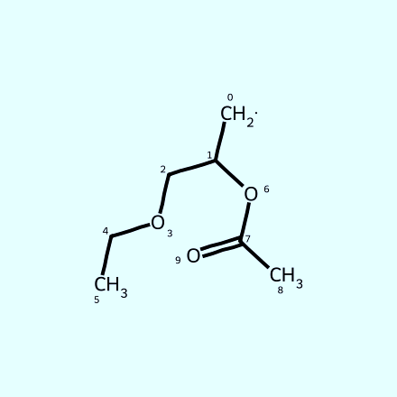 [CH2]C(COCC)OC(C)=O